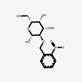 O=[N+]([O-])c1ccccc1CO[C@@H]1[C@@H](O)[C@@H](O)[C@@H](CO)O[C@H]1O